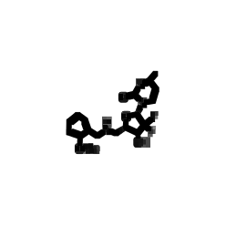 COc1ccccc1CNC[C@H]1O[C@@H](n2ccc(C)nc2=O)C(F)(F)[C@@H]1O